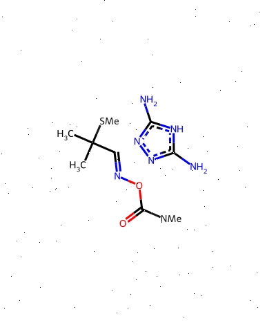 CNC(=O)O/N=C/C(C)(C)SC.Nc1nnc(N)[nH]1